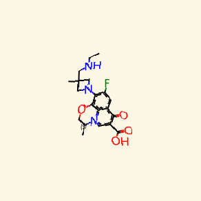 CCNCC1(C)CN(c2c(F)cc3c(=O)c(C(=O)O)cn4c3c2OC[C@@H]4C)C1